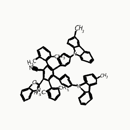 Cc1ccc2c(c1)c1ccccc1n2-c1ccc(-c2c(-c3c(C)cccc3C)c(C#N)c(-c3nc4ccccc4o3)c(-c3c(C)cccc3C)c2-c2ccc(-n3c4ccccc4c4cc(C)ccc43)cc2)cc1